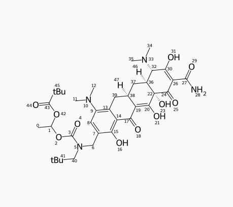 CC(OC(=O)N(Cc1cc(N(C)C)c2c(c1O)C(=O)C1=C(O)[C@]3(O)C(=O)C(C(N)=O)=C(O)[C@@H](N(C)C)[C@@H]3C[C@@H]1C2)CC(C)(C)C)OC(=O)C(C)(C)C